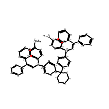 COc1ccc(N(C=C(c2ccccc2)c2ccccc2)C2=CCC(C3(c4ccc(N(C=C(c5ccccc5)c5ccccc5)c5ccc(OC)cc5)cc4)CCCCC3)C=C2)cc1